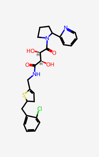 O=C(NCC1=CCC(Cc2ccccc2Cl)S1)[C@H](O)[C@@H](O)C(=O)N1CCCC1c1ccccn1